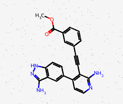 COC(=O)c1cccc(C#Cc2c(-c3ccc4[nH]nc(N)c4c3)ccnc2N)c1